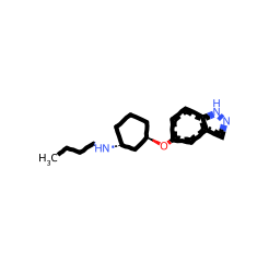 CCCCN[C@@H]1CCC[C@@H](Oc2ccc3[nH]ncc3c2)C1